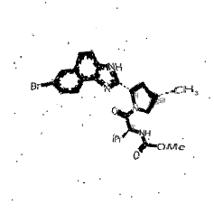 COC(=O)N[C@H](C(=O)N1C[C@@H](C)C[C@H]1c1nc2c(ccc3cc(Br)ccc32)[nH]1)C(C)C